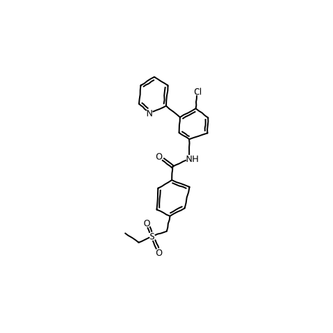 CCS(=O)(=O)Cc1ccc(C(=O)Nc2ccc(Cl)c(-c3ccccn3)c2)cc1